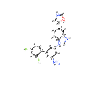 Nc1cc(-c2ccc(F)cc2F)cc(-n2cnc3cc(-c4cnco4)ccc32)c1